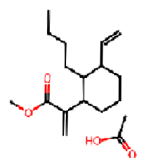 C=CC1CCCC(C(=C)C(=O)OC)C1CCCC.CC(=O)O